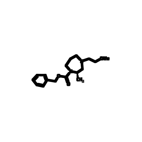 COCCN1CCCN(C(=O)OCc2ccccc2)[C@@H](C)C1